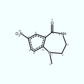 CN1CCNC(=O)c2cc([N+](=O)[O-])ccc21